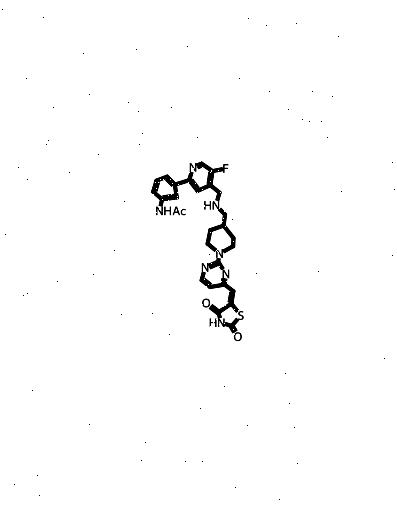 CC(=O)Nc1cccc(-c2cc(CNCC3CCN(c4nccc(C=C5SC(=O)NC5=O)n4)CC3)c(F)cn2)c1